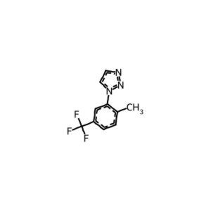 Cc1ccc(C(F)(F)F)cc1-n1ccnn1